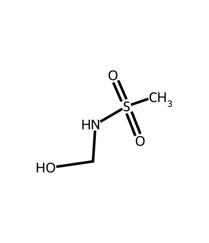 CS(=O)(=O)NCO